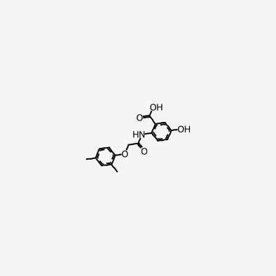 Cc1ccc(OCC(=O)Nc2ccc(O)cc2C(=O)O)c(C)c1